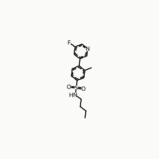 CCCCNS(=O)(=O)c1ccc(-c2cncc(F)c2)c(C)c1